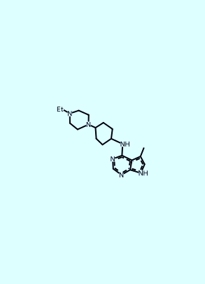 CCN1CCN(C2CCC(Nc3ncnc4[nH]cc(C)c34)CC2)CC1